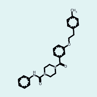 Cc1ccc(CCOc2cccc(C(=O)N3CCN(C(=O)Nc4ccccc4)CC3)c2)cc1